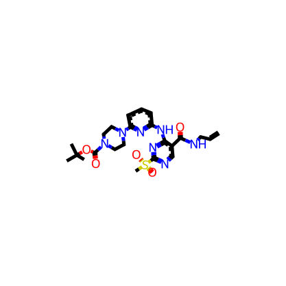 C=CCNC(=O)c1cnc(S(C)(=O)=O)nc1Nc1cccc(N2CCN(C(=O)OC(C)(C)C)CC2)n1